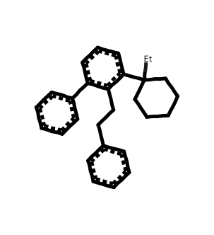 CCC1(c2cccc(-c3ccccc3)c2CCc2ccccc2)CCCCC1